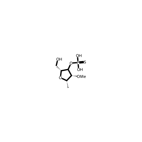 CO[C@H]1C(OP(O)(O)=S)[C@@H](CO)O[C@H]1C